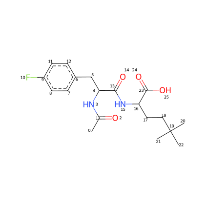 CC(=O)NC(Cc1ccc(F)cc1)C(=O)NC(CCC(C)(C)C)C(=O)O